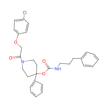 O=C(NCCCc1ccccc1)OC1(c2ccccc2)CCN(C(=O)COc2ccc(Cl)cc2)CC1